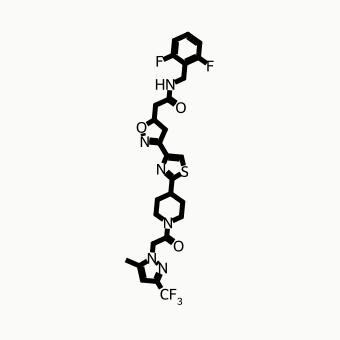 Cc1cc(C(F)(F)F)nn1CC(=O)N1CCC(c2nc(C3=NOC(CC(=O)NCc4c(F)cccc4F)C3)cs2)CC1